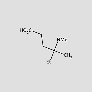 CCC(C)(CCC(=O)O)NC